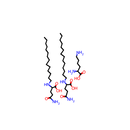 CCCCCCCCCCCCCCNC(CCC(N)=O)C(=O)O.CCCCCCCCCCCCCCNC(CCC(N)=O)C(=O)O.NCCCCC(N)C(=O)O